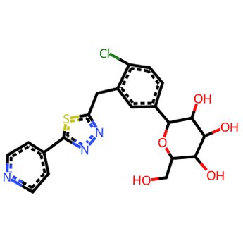 OCC1OC(c2ccc(Cl)c(Cc3nnc(-c4ccncc4)s3)c2)C(O)C(O)C1O